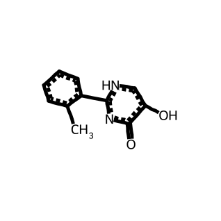 Cc1ccccc1-c1nc(=O)c(O)c[nH]1